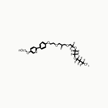 CCCCCCCCOc1ccc(-c2ccc(OCCOCC(F)COCC(F)(F)OC(F)(F)C(F)(F)OC(F)(F)C(F)(F)C(F)(F)C(F)(F)F)cc2)nc1